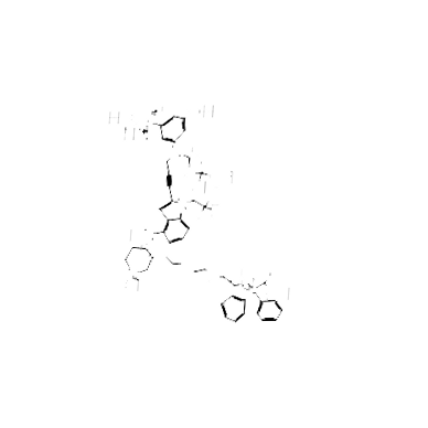 CN1CC[C@@H](Nc2cccc3c2cc(C#CCN(C(=O)OC(C)(C)C)c2cc(O)cc([S@](C)(=N)=O)c2)n3CC(F)(F)F)[C@H](CCOCCOCCO[Si](c2ccccc2)(c2ccccc2)C(C)(C)C)C1